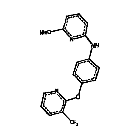 COc1cccc(Nc2ccc(Oc3ncccc3C(F)(F)F)cc2)n1